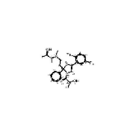 CC(=N)NN(C)CCC1(c2ccccc2)SC(c2cc(F)ccc2F)=NN1C(=O)[C@H](C)O